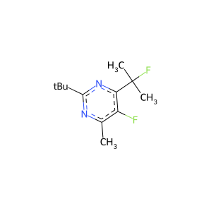 Cc1nc(C(C)(C)C)nc(C(C)(C)F)c1F